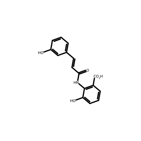 O=C(C=Cc1cccc(O)c1)Nc1c(O)cccc1C(=O)O